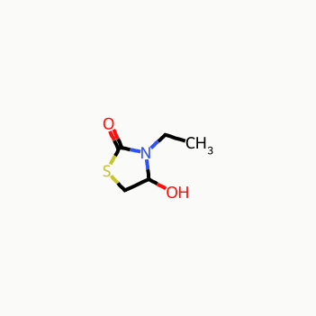 CCN1C(=O)SCC1O